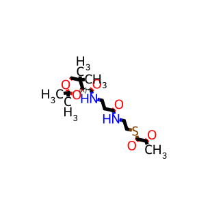 CC(=O)C(=O)SCCNC(=O)CCNC(=O)[C@@H]1OC(C)(C)OCC1(C)C